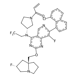 C=CC(=O)N1CC[C@@H](N(CC(F)(F)F)c2nc(OC[C@@]34CCCN3C[C@H](F)C4)nc3c(F)c(-c4cccc5cccc(Cl)c45)ncc23)C1